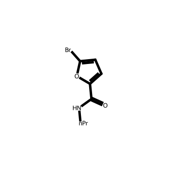 CCCNC(=O)c1ccc(Br)o1